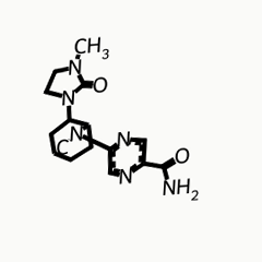 CN1CCN(C2CC3CCC2N(c2cnc(C(N)=O)cn2)C3)C1=O